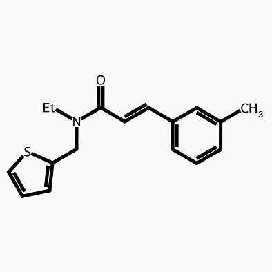 CCN(Cc1cccs1)C(=O)/C=C/c1cccc(C)c1